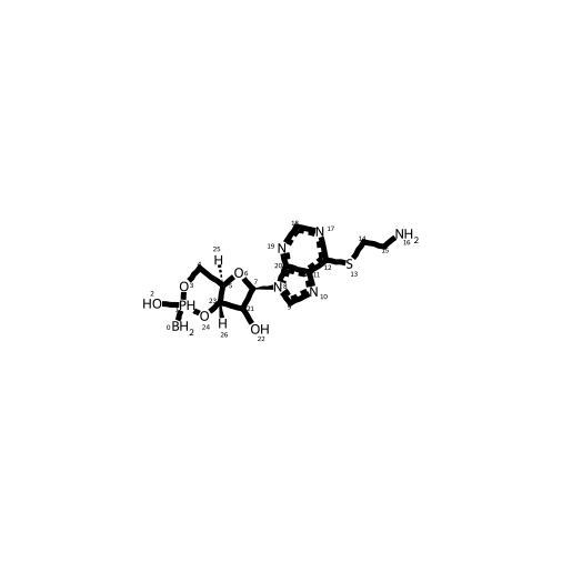 B[PH]1(O)OC[C@H]2O[C@@H](n3cnc4c(SCCN)ncnc43)C(O)[C@@H]2O1